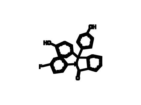 O=C1c2ccccc2C(c2ccc(O)cc2)(c2ccc(O)cc2)N1c1ccc(F)cc1